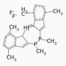 Cc1ccc(C)c2c1C=C1[CH]2[Hf+2][CH]2C(=Cc3c(C)ccc(C)c32)P(C)P1C.[F-].[F-]